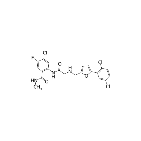 CNC(=O)c1cc(F)c(Cl)cc1NC(=O)CNCc1ccc(-c2cc(Cl)ccc2Cl)o1